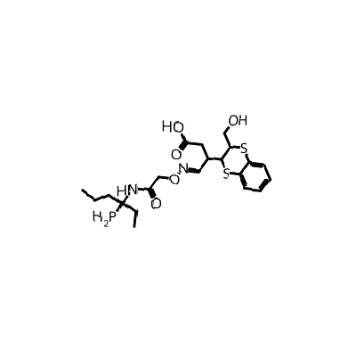 CCCC(P)(CC)NC(=O)CO/N=C/C(CC(=O)O)C1Sc2ccccc2SC1CO